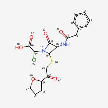 O=C(Cc1ccccc1)NC1C(=O)N(C(Cl)C(=O)O)C1SCC(=O)C1CCCO1